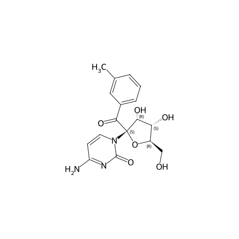 Cc1cccc(C(=O)[C@@]2(n3ccc(N)nc3=O)O[C@H](CO)[C@@H](O)[C@H]2O)c1